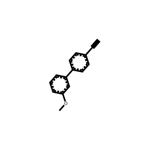 C#Cc1ccc(-c2cccc(OC)c2)cc1